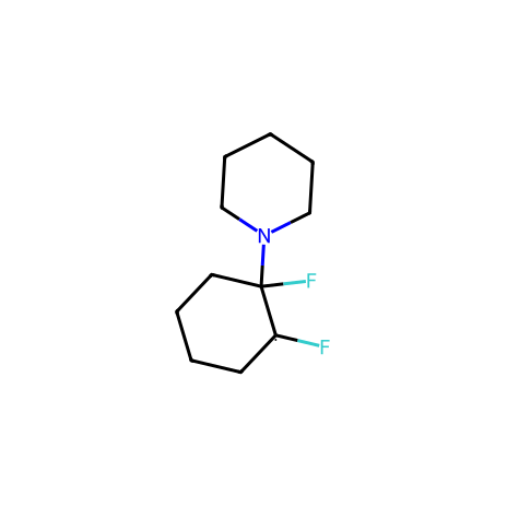 F[C]1CCCCC1(F)N1CCCCC1